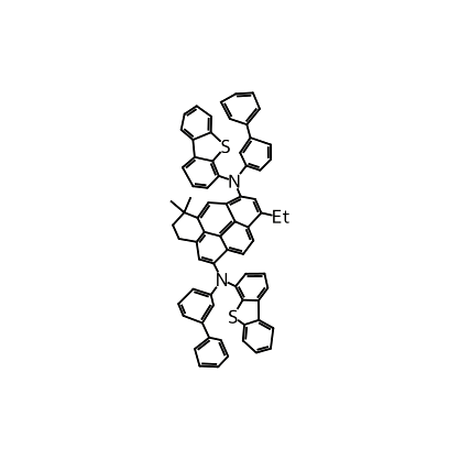 CCc1cc(N(c2cccc(-c3ccccc3)c2)c2cccc3c2sc2ccccc23)c2cc3c4c(cc(N(c5cccc(-c6ccccc6)c5)c5cccc6c5sc5ccccc56)c5ccc1c2c54)CCC3(C)C